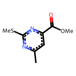 COC(=O)c1cc(C)nc(SC)n1